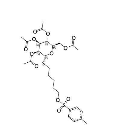 CC(=O)OC[C@H]1O[C@H](SCCCCCOS(=O)(=O)c2ccc(C)cc2)[C@@H](OC(C)=O)[C@@H](OC(C)=O)[C@@H]1OC(C)=O